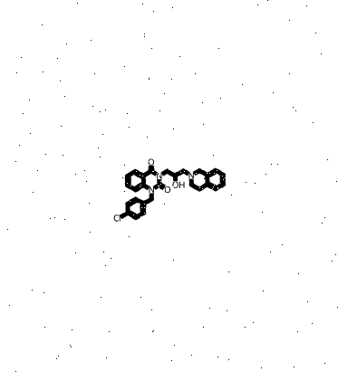 O=c1c2ccccc2n(Cc2ccc(Cl)cc2)c(=O)n1CC(O)CN1CCc2ccccc2C1